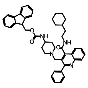 O=C(NC1CCN(Cc2c(-c3ccccc3)nc3ccccc3c2C(=O)NCCC2CCCCC2)CC1)OCC1c2ccccc2-c2ccccc21